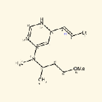 CC/C=C/C1C=C(N(C)C(C)CCOC)N=CN1